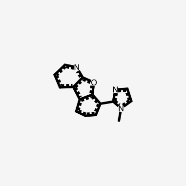 Cn1ccnc1-c1cccc2c1oc1ncccc12